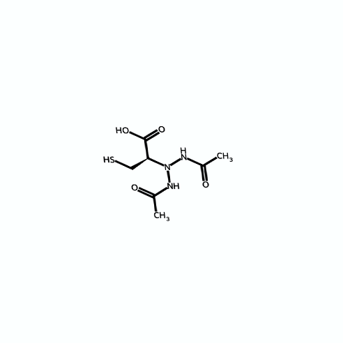 CC(=O)NN(NC(C)=O)[C@@H](CS)C(=O)O